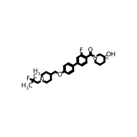 CC(C)(F)CN1CCC(COc2ccc(-c3ccc(C(=O)N4CCC[C@@H](O)C4)c(F)c3)cc2)CC1